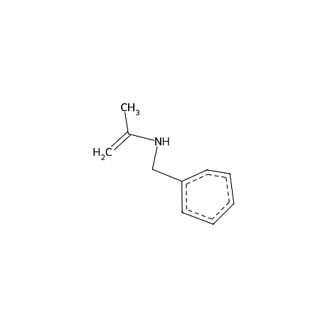 C=C(C)NCc1ccccc1